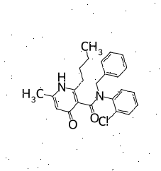 CCCCc1[nH]c(C)cc(=O)c1C(=O)N(Cc1ccccc1)c1ccccc1Cl